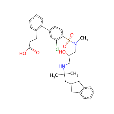 CN(CC(O)CNC(C)(C)CC1Cc2ccccc2C1)S(=O)(=O)c1ccc(-c2ccccc2CCC(=O)O)cc1Cl